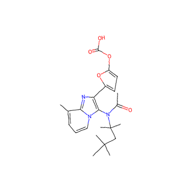 CC(=O)N(c1c(-c2ccc(OC(=O)O)o2)nc2c(C)cccn12)C(C)(C)CC(C)(C)C